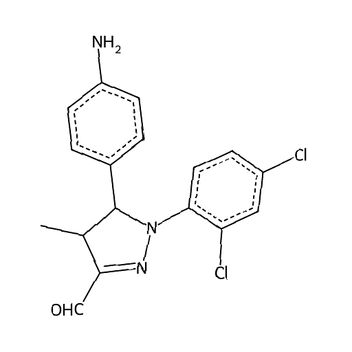 CC1C(C=O)=NN(c2ccc(Cl)cc2Cl)C1c1ccc(N)cc1